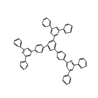 c1ccc(-c2cc(-c3ccccc3)cc(-c3cc(-c4ccc(-c5cc(-c6ccccc6)nc(-c6ccccc6)c5)cc4)cc(-c4ccc(-c5cc(-c6ccccc6)cc(-c6ccccc6)n5)cc4)c3)c2)cc1